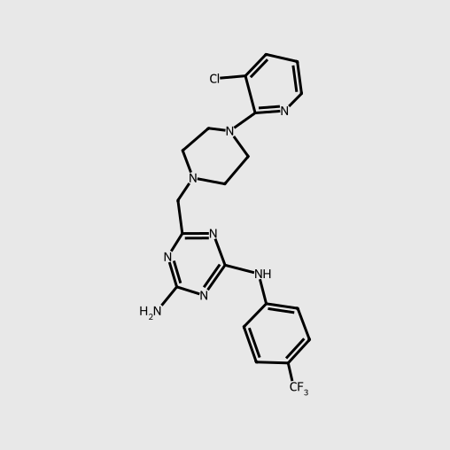 Nc1nc(CN2CCN(c3ncccc3Cl)CC2)nc(Nc2ccc(C(F)(F)F)cc2)n1